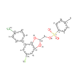 Cc1ccc(S(=O)(=O)OCC2Oc3cc(F)cc(-c4ccc(Cl)cc4)c3O2)cc1